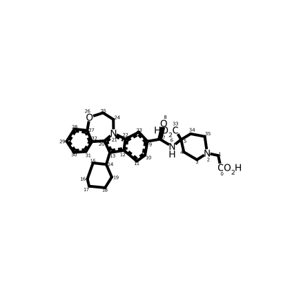 O=C(O)CN1CCC(NC(=O)c2ccc3c(C4CCCCC4)c4n(c3c2)CCOc2ccccc2-4)(C(=O)O)CC1